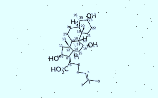 CC(C)=CCC/C(C(=O)O)=C1/[C@@H](O)C[C@@]2(C)[C@H]1C[C@@H](O)[C@H]1[C@@]3(C)CC[C@@H](O)[C@@H](C)[C@@H]3CC[C@@]12C